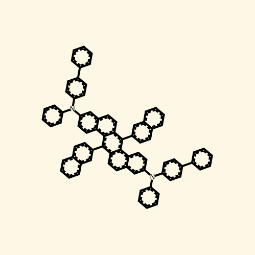 c1ccc(-c2ccc(N(c3ccccc3)c3ccc4c(ccc5c(-c6ccc7ccccc7c6)c6c(ccc7cc(N(c8ccccc8)c8ccc(-c9ccccc9)cc8)ccc76)c(-c6ccc7ccccc7c6)c54)c3)cc2)cc1